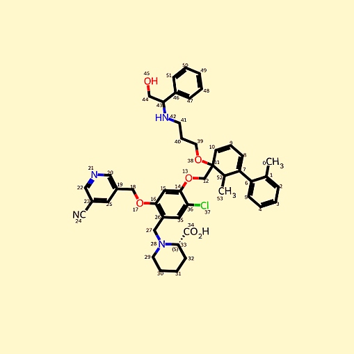 Cc1ccccc1C1=CC=CC(COc2cc(OCc3cncc(C#N)c3)c(CN3CCCC[C@H]3C(=O)O)cc2Cl)(OCCCNC(CO)c2ccccc2)C1C